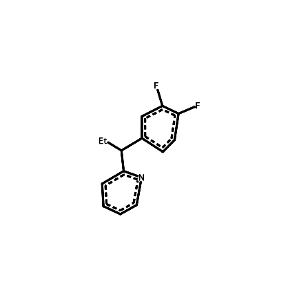 [CH2]CC(c1ccc(F)c(F)c1)c1ccccn1